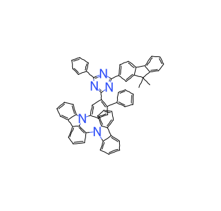 CC1(C)c2ccccc2-c2ccc(-c3nc(-c4ccccc4)nc(-c4cc(-n5c6ccccc6c6cccc(-n7c8ccccc8c8ccccc87)c65)ccc4-c4ccccc4)n3)cc21